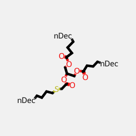 CCCCCCCCCCCCCCSCC(=O)OC(COC(=O)CCCCCCCCCCCCC)COC(=O)CCCCCCCCCCCCC